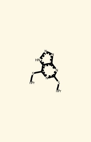 CCCSc1nc(SCCC)c2[nH]nnc2n1